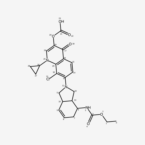 CCOC(=O)NC1CC=CC2CN(c3ccc4c(=O)c(OC(=O)O)cn(C5CC5)c4c3Cl)CC21